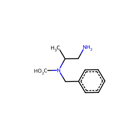 CC(CN)N(Cc1ccccc1)C(=O)O